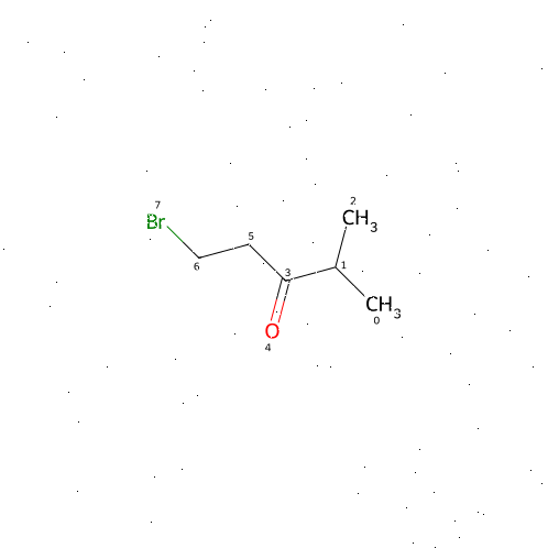 CC(C)C(=O)CCBr